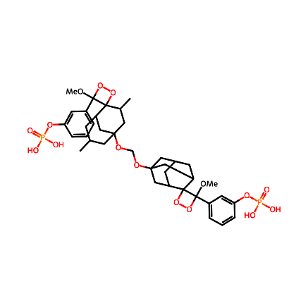 COC1(c2cccc(OP(=O)(O)O)c2)OOC12C(C)CC1(OCOC34CC5CC(C3)C3(OOC3(OC)c3cccc(OP(=O)(O)O)c3)C(C5)C4)CC(C)CC2C1